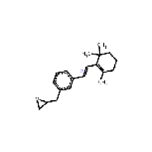 CC1=C(/C=C/c2cccc(CC3CO3)c2)C(C)(C)CCC1